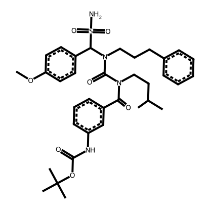 COc1ccc(C(N(CCCc2ccccc2)C(=O)N(CCC(C)C)C(=O)c2cccc(NC(=O)OC(C)(C)C)c2)S(N)(=O)=O)cc1